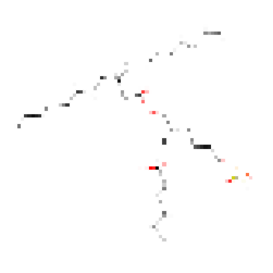 CCCCCCCCC(CCCCCCCC)CC(=O)OCC(CCCCOS(C)(=O)=O)COC(=O)CCCCC